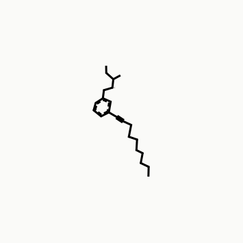 CCCCCCCCC#Cc1cccc(C[CH]C(C)CC)c1